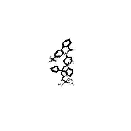 CCCC(CC(=O)OC(C)(C)C)(c1ccccc1)c1ccccc1N1CCC(NC(=O)c2ccccc2-c2ccc(C(F)(F)F)cc2)CC1